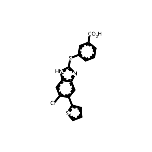 O=C(O)c1cccc(Sc2nc3cc(-c4cccs4)c(Cl)cc3[nH]2)c1